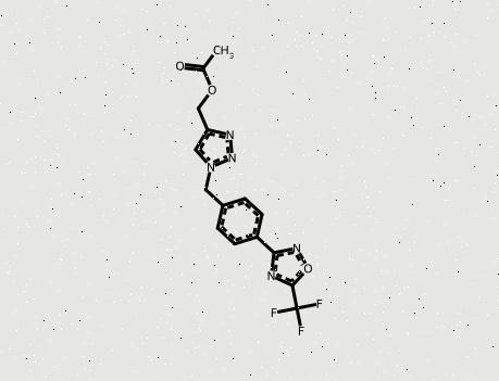 CC(=O)OCc1cn(Cc2ccc(-c3noc(C(F)(F)F)n3)cc2)nn1